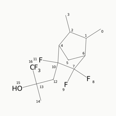 CC1C(C)C2CC1C(F)(F)C2(F)CC(C)(O)C(F)(F)F